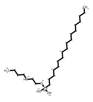 CCCCCCCCCCCCCCCCCC[PH](O)(O)OCCNCCCC